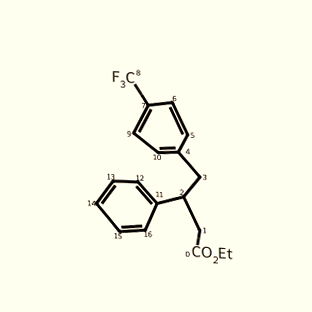 CCOC(=O)CC(Cc1ccc(C(F)(F)F)cc1)c1ccccc1